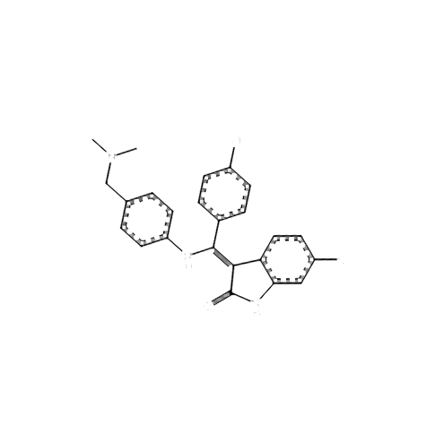 CN(C)Cc1ccc(N/C(=C2\C(=O)Nc3cc(Cl)ccc32)c2ccc(Cl)cc2)cc1